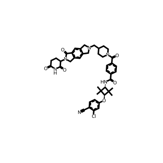 CC1(C)[C@H](NC(=O)c2ccc(C(=O)N3CCC(CN4Cc5cc6c(cc5C4)C(=O)N(C4CCC(=O)NC4=O)C6)CC3)cc2)C(C)(C)[C@H]1Oc1ccc(C#N)c(Cl)c1